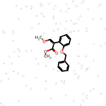 COC=C(C(=O)OC)c1ccccc1OCc1ccccc1